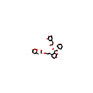 O=C(/C=C/c1ccc(O)c2c1[C@@H](C(=O)OC(Cc1ccc(O)c(O)c1)C(=O)O)[C@H](c1ccc(O)c(O)c1)O2)O[C@H](Cc1ccc(O)c(O)c1)C(=O)O